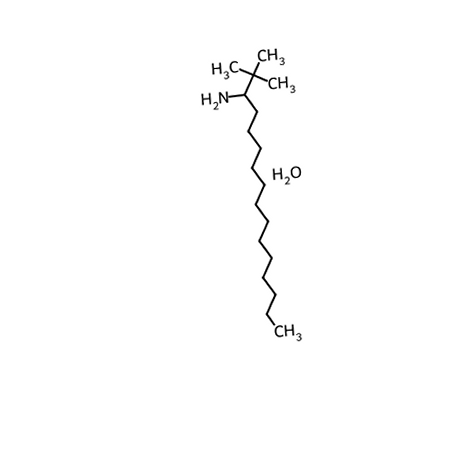 CCCCCCCCCCCCCC(N)C(C)(C)C.O